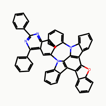 c1ccc(-c2nc(-c3ccccc3)c3cc(-n4c5ccccc5c5c6c7ccccc7oc6c6c7ccccc7n(-c7ccccc7)c6c54)ccc3n2)cc1